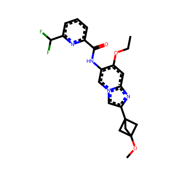 CCOc1cc2nc(C34CC(OC)(C3)C4)cn2cc1NC(=O)c1cccc(C(F)F)n1